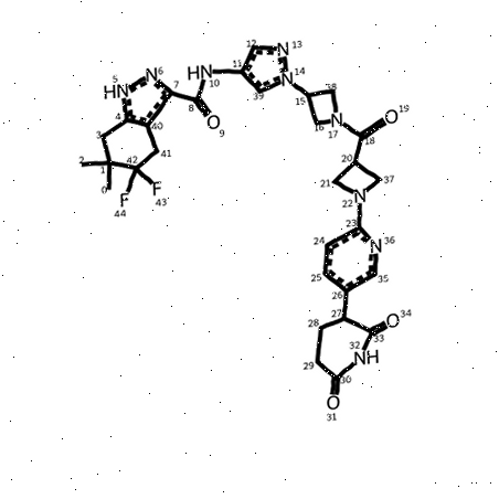 CC1(C)Cc2[nH]nc(C(=O)Nc3cnn(C4CN(C(=O)C5CN(c6ccc(C7CCC(=O)NC7=O)cn6)C5)C4)c3)c2CC1(F)F